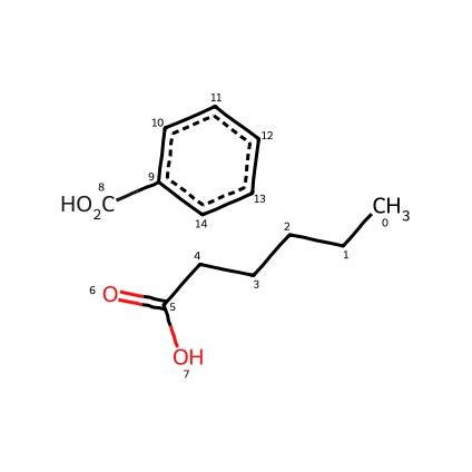 CCCCCC(=O)O.O=C(O)c1ccccc1